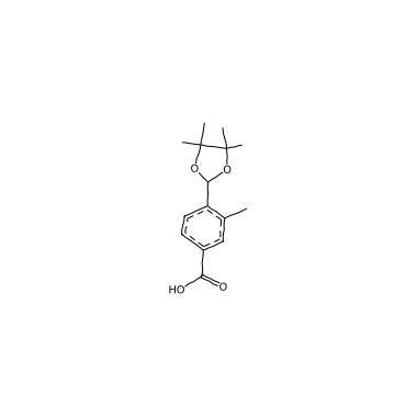 Cc1cc(C(=O)O)ccc1C1OC(C)(C)C(C)(C)O1